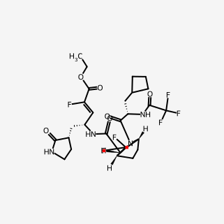 CCOC(=O)/C(F)=C/[C@@H](C[C@@H]1CCNC1=O)NC(=O)[C@H]1[C@H]2CC[C@H](CC2(F)F)N1C(=O)[C@H](CC1CCC1)NC(=O)C(F)(F)F